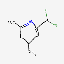 CC1=NC(C(F)F)=CC(C)C1